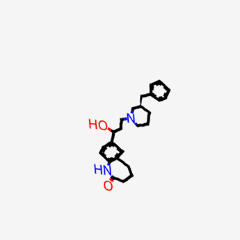 O=C1CCCc2cc(C(O)CCN3CCC[C@H](Cc4ccccc4)C3)ccc2N1